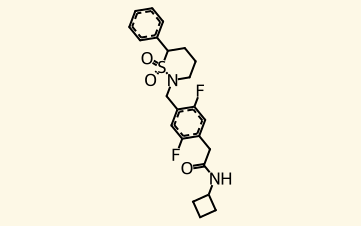 O=C(Cc1cc(F)c(CN2CCCC(c3ccccc3)S2(=O)=O)cc1F)NC1CCC1